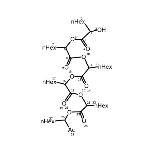 CCCCCCC(O)C(=O)OC(CCCCCC)C(=O)OC(CCCCCC)C(=O)OC(CCCCCC)C(=O)OC(CCCCCC)C(=O)OC(CCCCCC)C(C)=O